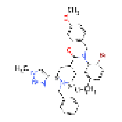 COc1ccc(CN(C(=O)C2C[C@H](C)N(Cc3ccccc3)[C@H](c3cn(C)nn3)C2)c2cc(C)ccc2Br)cc1